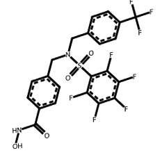 O=C(NO)c1ccc(CN(Cc2ccc(C(F)(F)F)cc2)S(=O)(=O)c2c(F)c(F)c(F)c(F)c2F)cc1